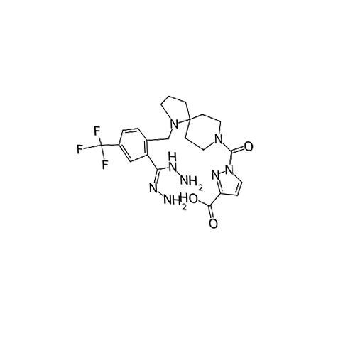 N/N=C(\NN)c1cc(C(F)(F)F)ccc1CN1CCCC12CCN(C(=O)n1ccc(C(=O)O)n1)CC2